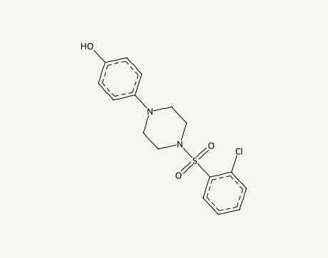 O=S(=O)(c1ccccc1Cl)N1CCN(c2ccc(O)cc2)CC1